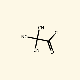 N#CC(C#N)(C#N)C(=O)Cl